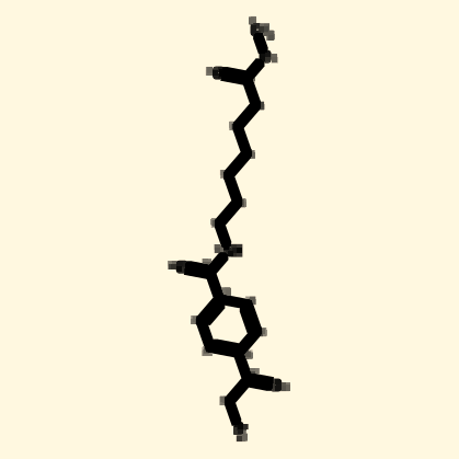 COC(=O)CCCCCCNC(=O)c1ccc(C(=O)CBr)cc1